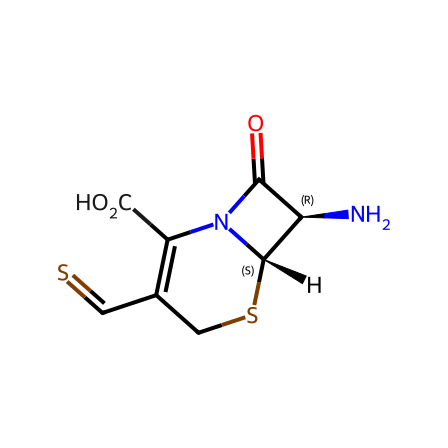 N[C@@H]1C(=O)N2C(C(=O)O)=C(C=S)CS[C@@H]12